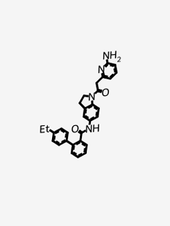 CCc1ccc(-c2ccccc2C(=O)Nc2ccc3c(c2)CCN3C(=O)Cc2cccc(N)n2)cc1